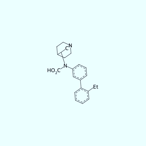 CCc1ccccc1-c1cccc(N(C(=O)O)C2CN3CCC2CC3)c1